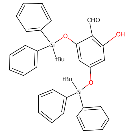 CC(C)(C)[Si](Oc1cc(O)c(C=O)c(O[Si](c2ccccc2)(c2ccccc2)C(C)(C)C)c1)(c1ccccc1)c1ccccc1